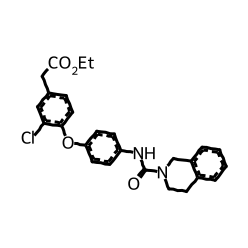 CCOC(=O)Cc1ccc(Oc2ccc(NC(=O)N3CCc4ccccc4C3)cc2)c(Cl)c1